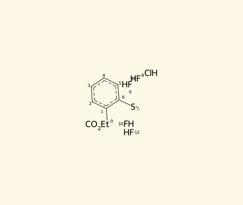 CCOC(=O)c1ccccc1[S].Cl.F.F.F.F